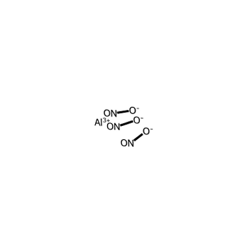 O=N[O-].O=N[O-].O=N[O-].[Al+3]